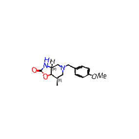 COc1ccc(CN2C[C@@H](C)C3OC(=O)N[C@@H]3C2)cc1